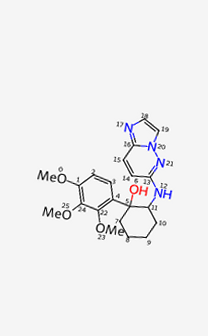 COc1ccc(C2(O)CCCCC2Nc2ccc3nccn3n2)c(OC)c1OC